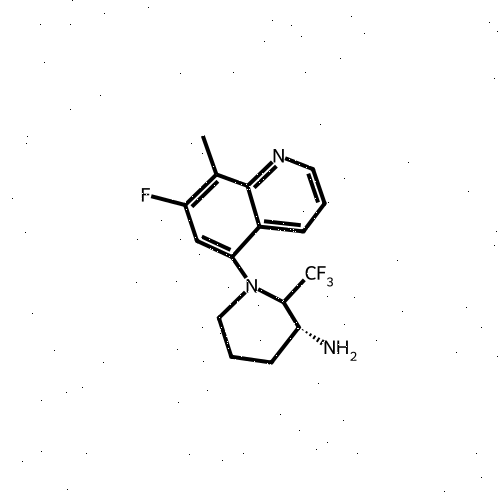 Cc1c(F)cc(N2CCC[C@@H](N)C2C(F)(F)F)c2cccnc12